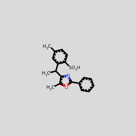 Cc1ccc(S(=O)(=O)O)c(C(C)c2nc(-c3ccccc3)oc2C)c1